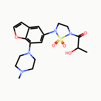 CC(O)C(=O)N1CCN(c2cc(N3CCN(C)CC3)c3occc3c2)S1(=O)=O